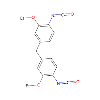 CCOc1cc(Cc2ccc(N=C=O)c(OCC)c2)ccc1N=C=O